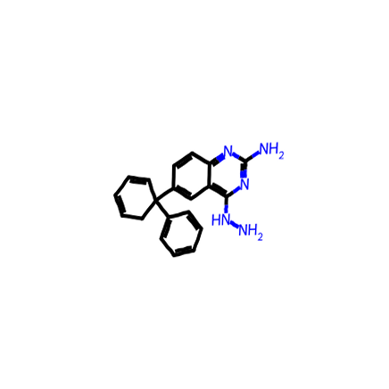 NNc1nc(N)nc2ccc(C3(c4ccccc4)C=CC=CC3)cc12